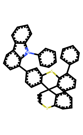 c1ccc(-c2cccc3c2Sc2cc(-c4cccc5c6ccccc6n(-c6ccccc6)c45)ccc2C32c3ccccc3Sc3ccccc32)cc1